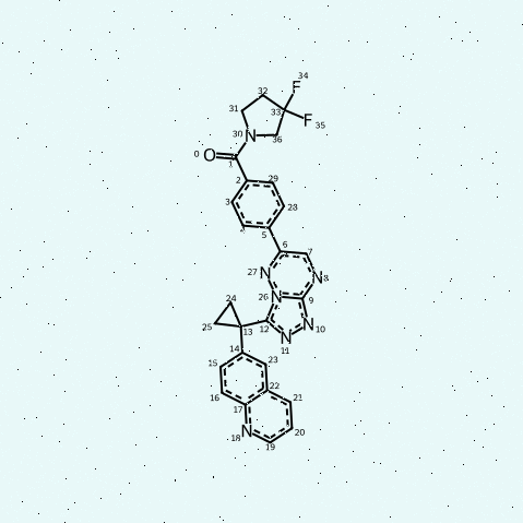 O=C(c1ccc(-c2cnc3nnc(C4(c5ccc6ncccc6c5)CC4)n3n2)cc1)N1CCC(F)(F)C1